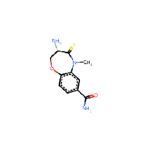 CN1C(=S)[C@@H](N)COc2ccc(C(N)=O)cc21